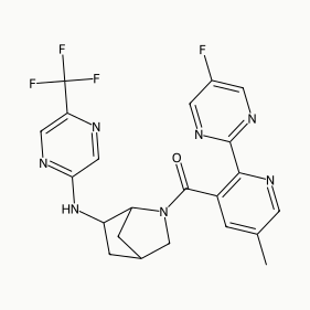 Cc1cnc(-c2ncc(F)cn2)c(C(=O)N2CC3CC(Nc4cnc(C(F)(F)F)cn4)C2C3)c1